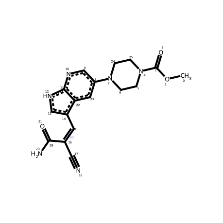 COC(=O)N1CCN(c2cnc3[nH]cc(/C=C(/C#N)C(N)=O)c3c2)CC1